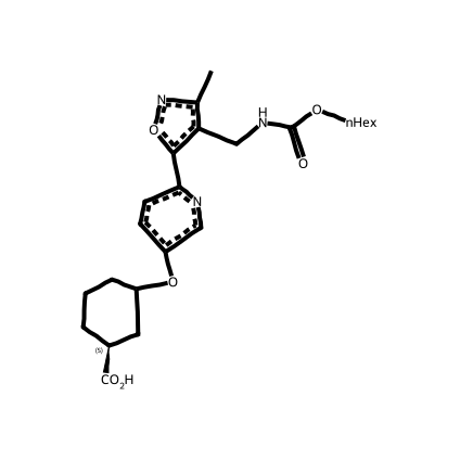 CCCCCCOC(=O)NCc1c(C)noc1-c1ccc(OC2CCC[C@H](C(=O)O)C2)cn1